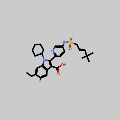 CCc1cc2c(cc1F)c(C(=O)O)c(-c1ccc(NS(=O)(=O)CC=CC(C)(C)C)cn1)n2C1CCCCC1